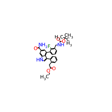 CCOC(=O)Cc1ccccc1-c1c[nH]c2cc(C(N)=O)cc(-c3cccc(CNC(=O)OC(C)(C)C)c3F)c12